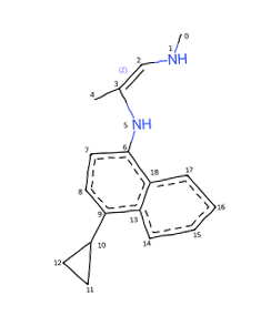 CN/C=C(/C)Nc1ccc(C2CC2)c2ccccc12